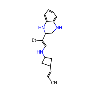 CC/C(=C\NC1CC(/C=C/C#N)C1)C1CNc2ccccc2N1